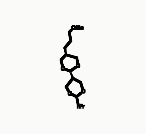 CCCC1OCC([C@H]2OC[C@H](CCCOC)CO2)CO1